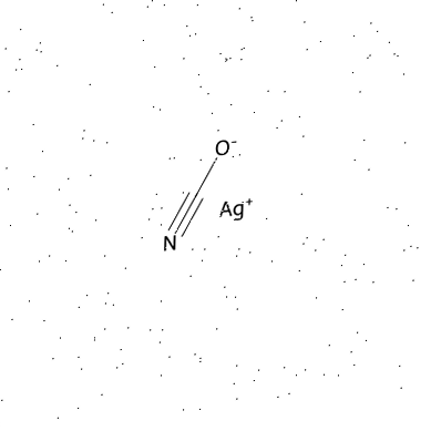 N#C[O-].[Ag+]